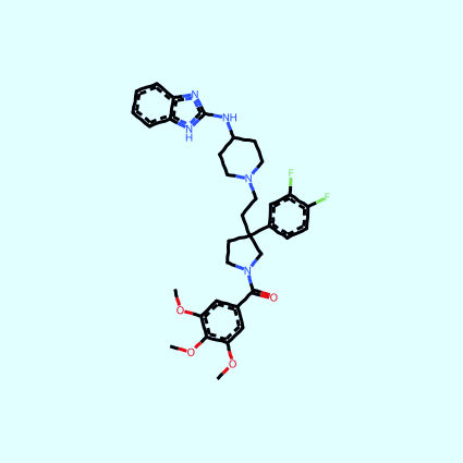 COc1cc(C(=O)N2CCC(CCN3CCC(Nc4nc5ccccc5[nH]4)CC3)(c3ccc(F)c(F)c3)C2)cc(OC)c1OC